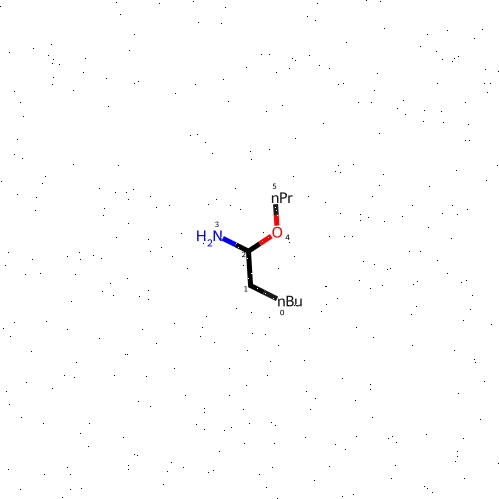 CCCCCC(N)OCCC